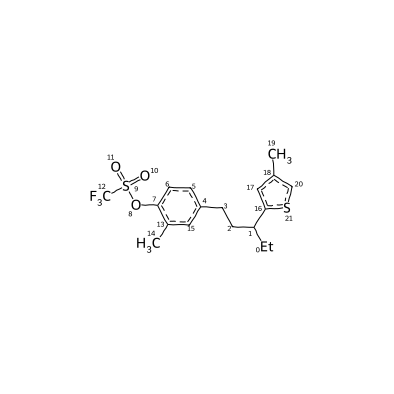 CCC(CCc1ccc(OS(=O)(=O)C(F)(F)F)c(C)c1)c1cc(C)cs1